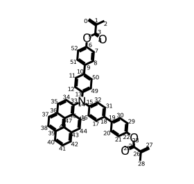 C=C(C)C(=O)Oc1ccc(-c2ccc(N(c3ccc(-c4ccc(OC(=O)C(=C)C)cc4)cc3)c3ccc4ccc5cccc6ccc3c4c56)cc2)cc1